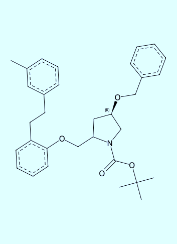 Cc1cccc(CCc2ccccc2OCC2C[C@@H](OCc3ccccc3)CN2C(=O)OC(C)(C)C)c1